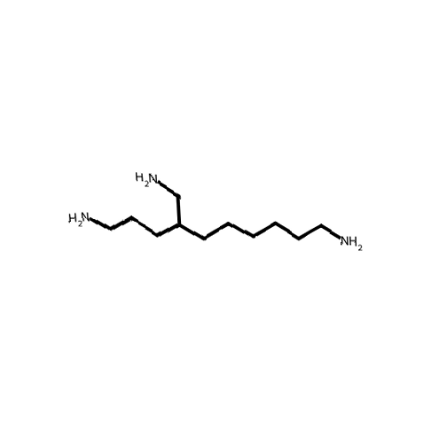 NCCCCCCC(CN)CCCN